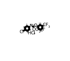 Cl.O=C(O)/C(=N\c1ccc(Cl)cc1)Oc1cccc(C(F)(F)F)c1